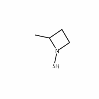 CC1CCN1S